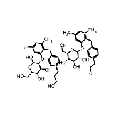 Cc1cc(C)c(Cc2ccc(CCCO)cc2)c(O[C@H]2C(O)O[C@H](CO)[C@@H](O)[C@@H]2O)c1.Cc1cc(C)c(Cc2ccc(CCO)cc2)c(O[C@@H]2O[C@H](CO)[C@@H](O)[C@H](O)[C@H]2O)c1